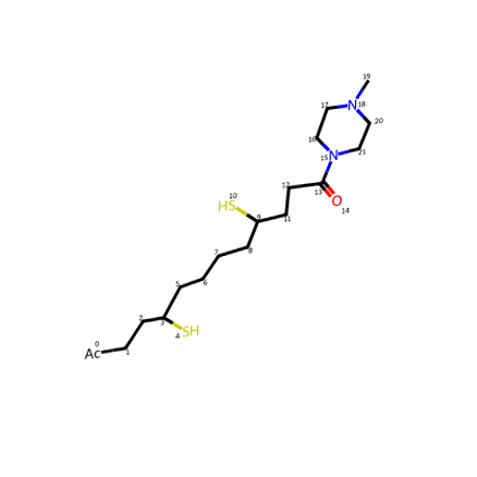 CC(=O)CCC(S)CCCCC(S)CCC(=O)N1CCN(C)CC1